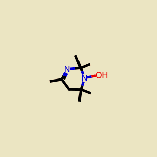 CC1=NC(C)(C)N(O)C(C)(C)C1